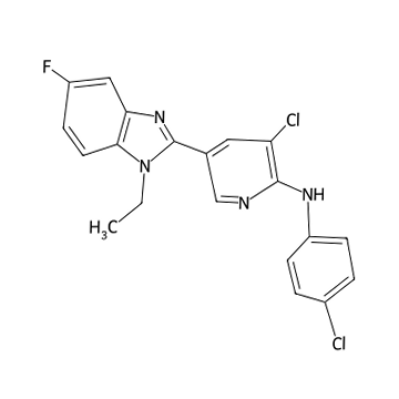 CCn1c(-c2cnc(Nc3ccc(Cl)cc3)c(Cl)c2)nc2cc(F)ccc21